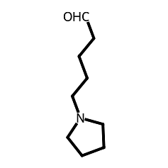 O=CCCCCN1CCCC1